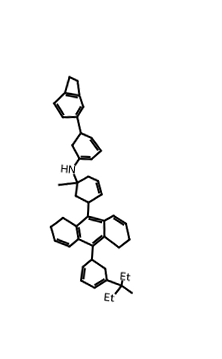 CCC(C)(CC)C1=CC=CC(c2c3c(c(C4C=CCC(C)(NC5=CC=CC(c6ccc7c(c6)CC7)C5)C4)c4c2CCC=C4)CCC=C3)C1